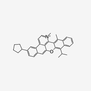 Cc1c2c(c(C(C)C)c3ccccc13)Oc1cc3ccc(C4CCCC4)cc3c3cc[n+](C)c-2c13